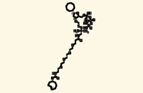 CC(C)(CNC(=O)CCOCCOCCOCCOCCNC(=O)OC1CC/C=C/CCC1)SSCO[C@@H]1C[C@H](C2CCCCCCC2)OC1COP(=O)(O)OP(=O)(O)OP(=O)(O)O